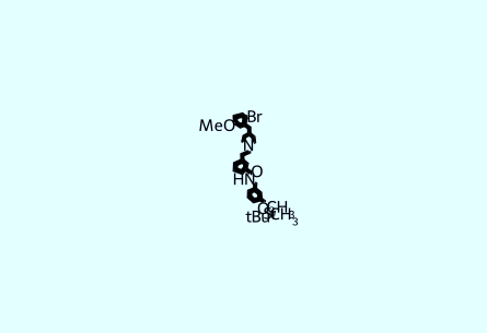 COc1ccc(Br)c(CC2CCN(CCc3cccc(C(=O)NCc4cccc(CO[Si](C)(C)C(C)(C)C)c4)c3)CC2)c1